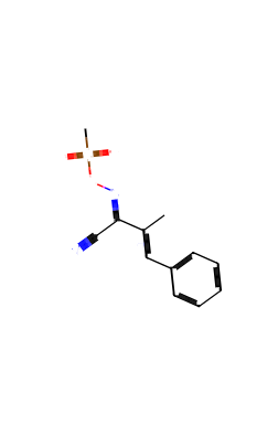 CC(=C\c1ccccc1)/C(C#N)=N/OS(C)(=O)=O